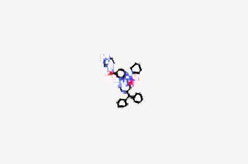 NC(=O)N(c1ccccc1)c1ccc(C(=O)N2CCNCC2)cc1N1CCC(C(c2ccccc2)c2ccccc2)CC1